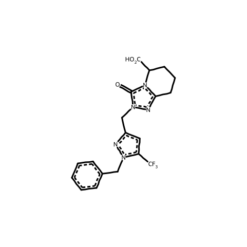 O=C(O)C1CCCc2nn(Cc3cc(C(F)(F)F)n(Cc4ccccc4)n3)c(=O)n21